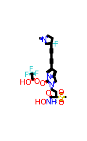 CN1CC[C@@](F)(C#CC#Cc2cc3n(c2)C(=O)N(CC[C@](C)(C(=O)NO)S(C)(=O)=O)C3)C1.O=C(O)C(F)(F)F